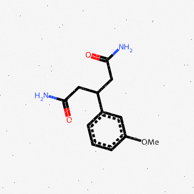 COc1cccc(C(CC(N)=O)CC(N)=O)c1